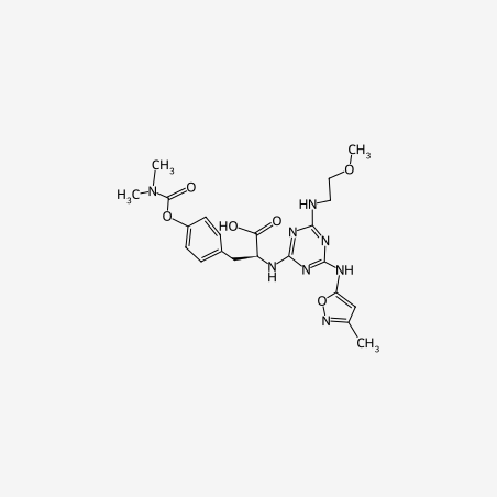 COCCNc1nc(Nc2cc(C)no2)nc(N[C@@H](Cc2ccc(OC(=O)N(C)C)cc2)C(=O)O)n1